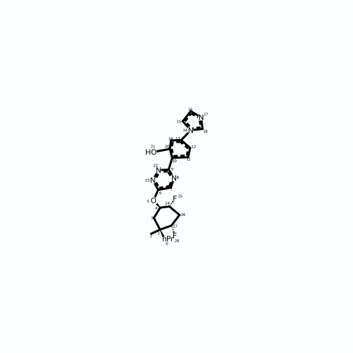 CCC[C@@]1(C)C[C@@H](Oc2cnc(-c3ccc(-n4ccnc4)cc3O)nn2)[C@H](F)C[C@@H]1F